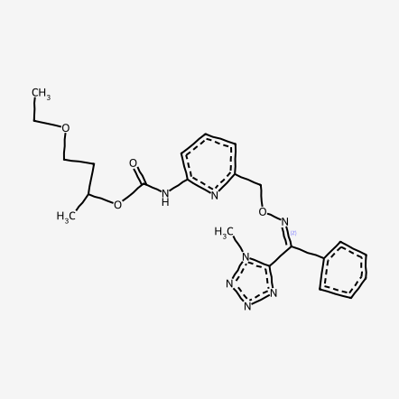 CCOCCC(C)OC(=O)Nc1cccc(CO/N=C(/c2ccccc2)c2nnnn2C)n1